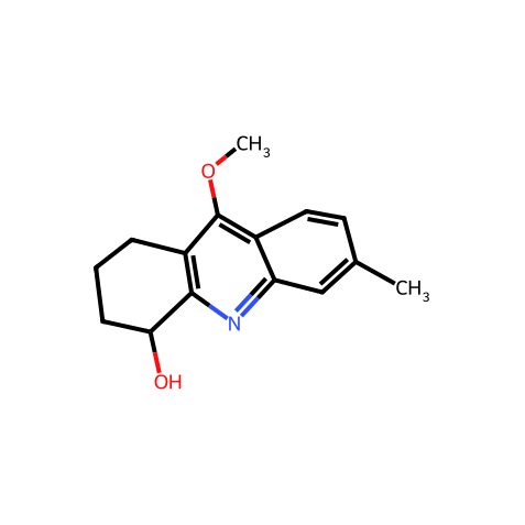 COc1c2c(nc3cc(C)ccc13)C(O)CCC2